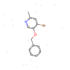 Cc1cc(Br)c(OCc2ccccc2)cn1